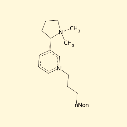 CCCCCCCCCCCC[n+]1cccc([C@@H]2CCC[N+]2(C)C)c1